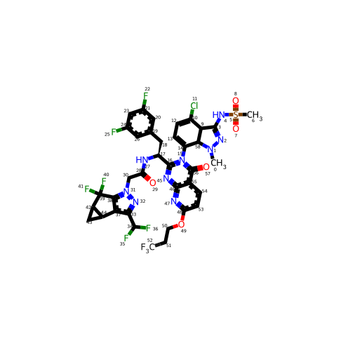 CN1N=C(NS(C)(=O)=O)C2C(Cl)=CC=C(n3c([C@H](Cc4cc(F)cc(F)c4)NC(=O)Cn4nc(C(F)F)c5c4C(F)(F)C4CC54)nc4nc(OCCC(F)(F)F)ccc4c3=O)C21